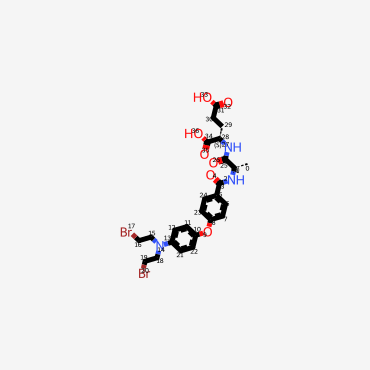 C[C@H](NC(=O)c1ccc(Oc2ccc(N(CCBr)CCBr)cc2)cc1)C(=O)N[C@@H](CCC(=O)O)C(=O)O